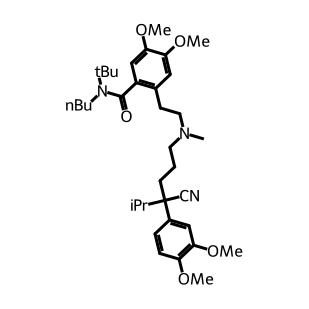 CCCCN(C(=O)c1cc(OC)c(OC)cc1CCN(C)CCCC(C#N)(c1ccc(OC)c(OC)c1)C(C)C)C(C)(C)C